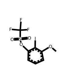 COc1cccc(OS(=O)(=O)C(F)(F)F)c1I